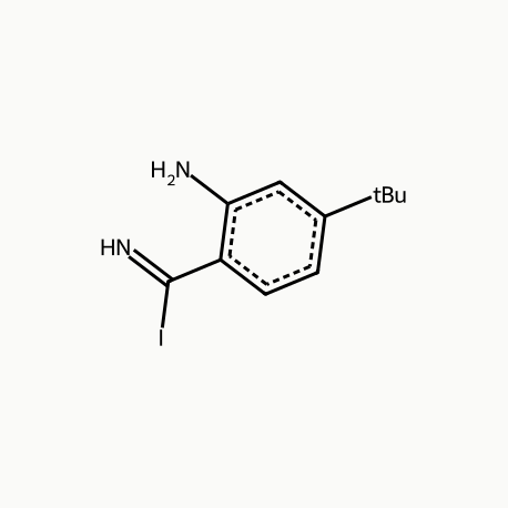 CC(C)(C)c1ccc(C(=N)I)c(N)c1